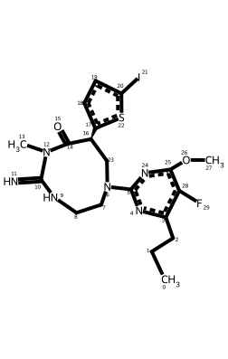 CCCc1nc(N2CCNC(=N)N(C)C(=O)[C@@H](c3ccc(I)s3)C2)nc(OC)c1F